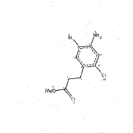 COC(=O)CCc1cc(Br)c(N)cc1Cl